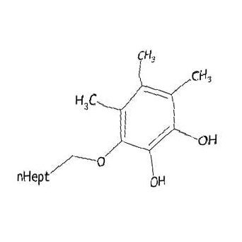 CCCCCCCCOc1c(C)c(C)c(C)c(O)c1O